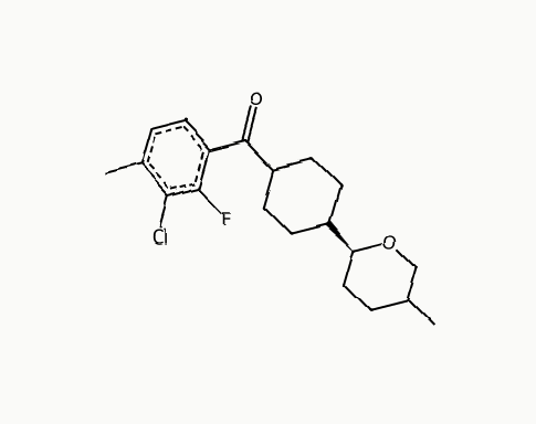 Cc1ccc(C(=O)C2CCC([C@@H]3CCC(C)CO3)CC2)c(F)c1Cl